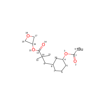 CC(C)(C)C(=O)OC1CCCC(CC(C)(C)C(=O)OC2COC2)C1